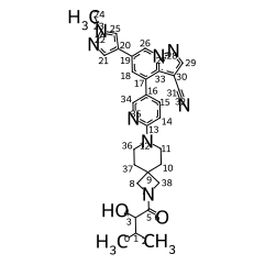 CC(C)C(O)C(=O)N1CC2(CCN(c3ccc(-c4cc(-c5cnn(C)c5)cn5ncc(C#N)c45)cn3)CC2)C1